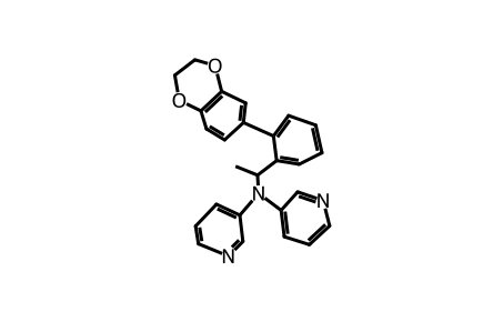 CC(c1ccccc1-c1ccc2c(c1)OCCO2)N(c1cccnc1)c1cccnc1